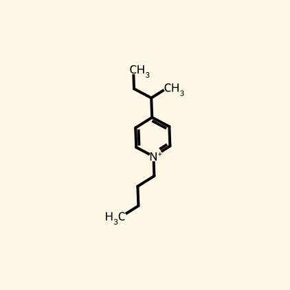 CCCC[n+]1ccc(C(C)CC)cc1